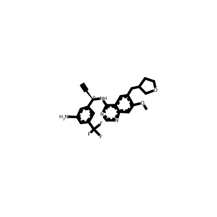 C#C[C@@H](Nc1ncnc2cc(OC)c(CC3CCOC3)cc12)c1cc(N)cc(C(F)(F)F)c1